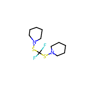 FC(F)(SN1CCCCC1)SN1CCCCC1